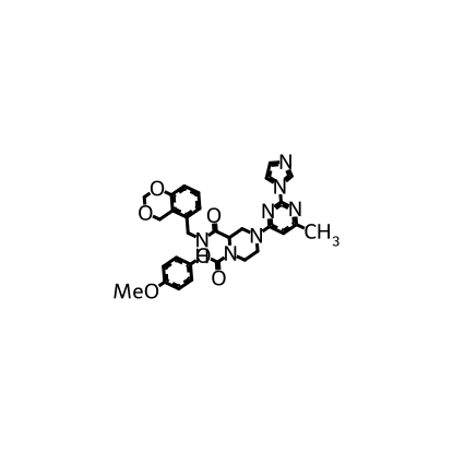 COc1ccc(OC(=O)N2CCN(c3cc(C)nc(-n4ccnc4)n3)CC2C(=O)NCc2cccc3c2COCO3)cc1